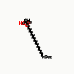 CCCCCCCCCCCCCCCCCCCCCCCCCCCCCCOC(=O)C(C)O